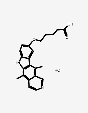 Cc1c2ccncc2c(C)c2c1[nH]c1ccc(OCCCCC(=O)O)cc12.Cl